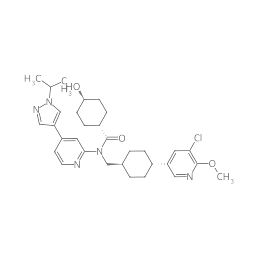 COc1ncc([C@H]2CC[C@H](CN(c3cc(-c4cnn(C(C)C)c4)ccn3)C(=O)[C@H]3CC[C@H](O)CC3)CC2)cc1Cl